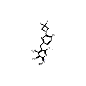 CC1=N/C(=N/O)C(=N)C(N)=C1Cc1ccc(Br)c(N2CC(F)(F)C2)n1